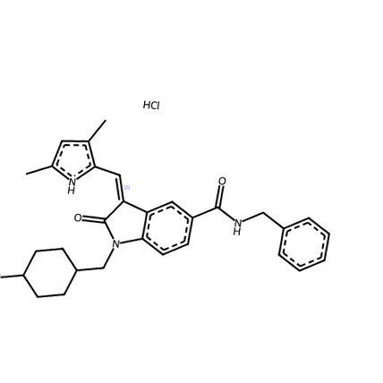 Cc1cc(C)c(/C=C2\C(=O)N(CC3CCC(N)CC3)c3ccc(C(=O)NCc4ccccc4)cc32)[nH]1.Cl